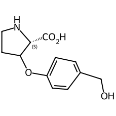 O=C(O)[C@H]1NCCC1Oc1ccc(CO)cc1